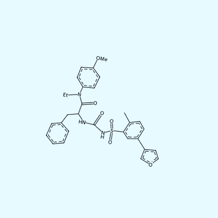 CCN(C(=O)C(Cc1ccccc1)NC(=O)NS(=O)(=O)c1cc(-c2ccoc2)ccc1C)c1ccc(OC)cc1